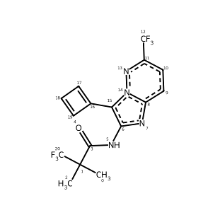 CC(C)(C(=O)Nc1nc2ccc(C(F)(F)F)nn2c1C1=CC=C1)C(F)(F)F